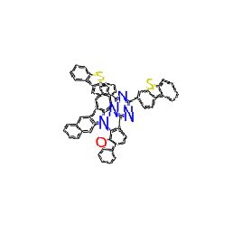 c1ccc2cc3c(cc2c1)c1cc2ccccc2cc1n3-c1c(-c2nc(-c3ccc4c(c3)sc3ccccc34)nc(-c3ccc4c(c3)sc3ccccc34)n2)ccc2c1oc1ccccc12